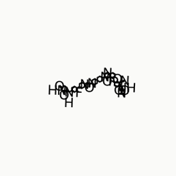 CCN(C)S(=O)(=O)Nc1ccc(F)c(Oc2ccc3ncn(C4CCC5(CC4)CCN(C(=O)CN4CCC(c6ccc(NC7CCC(=O)NC7=O)cc6F)CC4)CC5)c(=O)c3c2)c1C#N